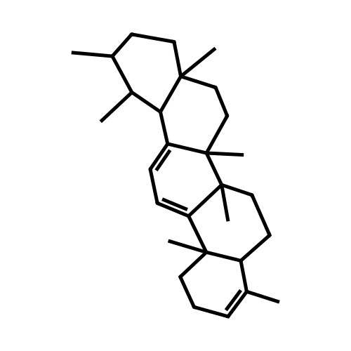 CC1=CCCC2(C)C3=CC=C4C5C(C)C(C)CCC5(C)CCC4(C)C3(C)CCC12